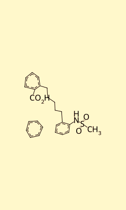 CS(=O)(=O)Nc1ccccc1CCCCCc1ccccc1C(=O)O.c1ccccc1